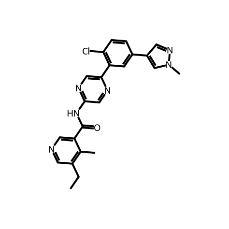 CCc1cncc(C(=O)Nc2cnc(-c3cc(-c4cnn(C)c4)ccc3Cl)cn2)c1C